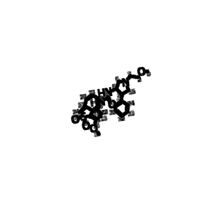 COCCN1CC(NC(=O)NC2C=CC(OC)=C3C24C=CC=CC4=CS3(=O)=O)C(c2ccccc2)C1